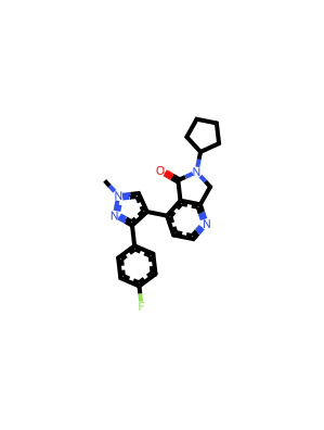 Cn1cc(-c2ccnc3c2C(=O)N(C2CCCC2)C3)c(-c2ccc(F)cc2)n1